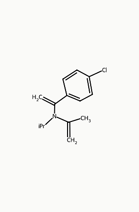 C=C(C)N(C(=C)c1ccc(Cl)cc1)C(C)C